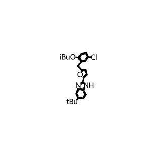 CC(C)COc1ccc(Cl)cc1Cc1ccc(-c2nc3cc(C(C)(C)C)ccc3[nH]2)o1